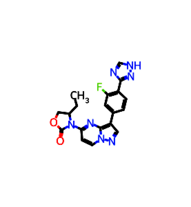 CCC1COC(=O)N1c1ccn2ncc(-c3ccc(-c4nc[nH]n4)c(F)c3)c2n1